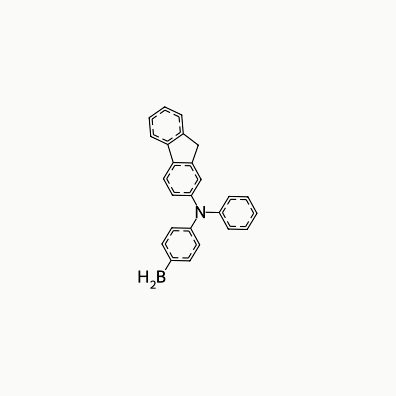 Bc1ccc(N(c2ccccc2)c2ccc3c(c2)Cc2ccccc2-3)cc1